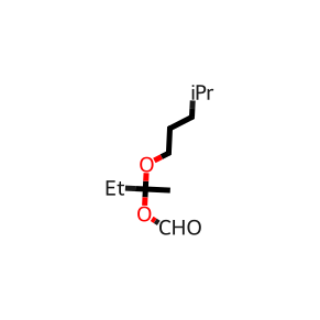 CCC(C)(OC=O)OCCCC(C)C